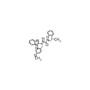 COc1ccc(C[C@@H](NC(=O)NCC(C)c2ccccc2)c2nc3ccccc3[nH]2)cc1